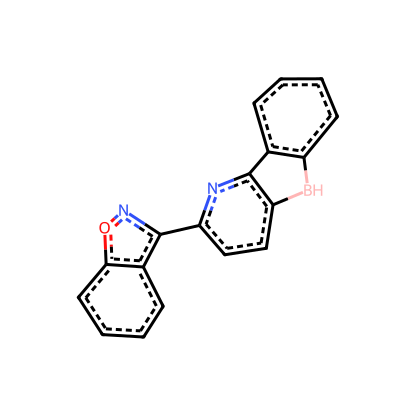 B1c2ccccc2-c2nc(-c3noc4ccccc34)ccc21